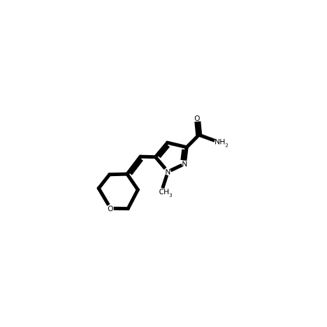 Cn1nc(C(N)=O)cc1C=C1CCOCC1